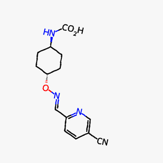 N#Cc1ccc(C=NO[C@H]2CC[C@H](NC(=O)O)CC2)nc1